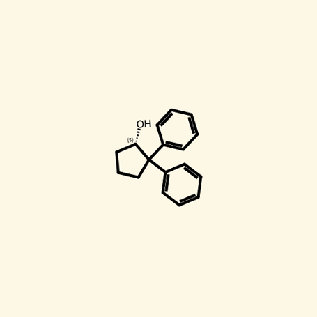 O[C@H]1CCCC1(c1ccccc1)c1ccccc1